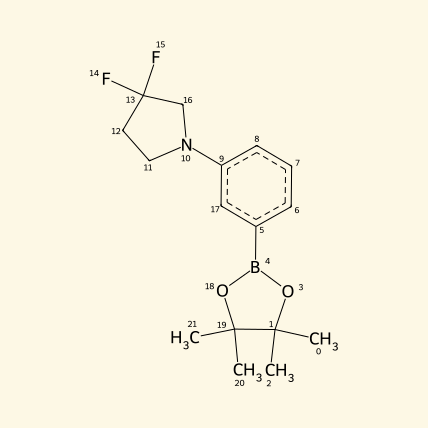 CC1(C)OB(c2cccc(N3CCC(F)(F)C3)c2)OC1(C)C